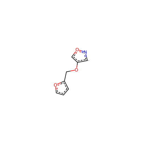 [c]1nocc1OCc1ccco1